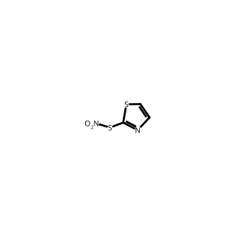 O=[N+]([O-])Sc1nccs1